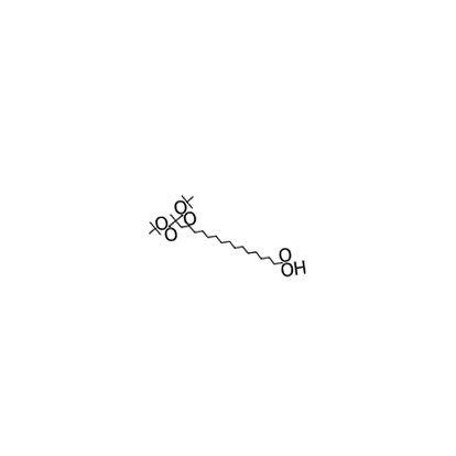 CC(C)(C)OC(=O)C(C)(CCCCCCCCCCCCCCCC(=O)O)C(=O)OC(C)(C)C